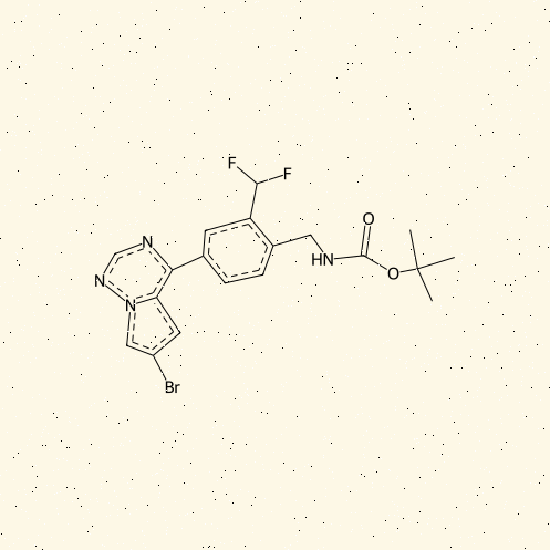 CC(C)(C)OC(=O)NCc1ccc(-c2ncnn3cc(Br)cc23)cc1C(F)F